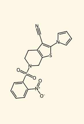 N#Cc1c(-n2cccc2)sc2c1CCN(S(=O)(=O)c1ccccc1[N+](=O)[O-])C2